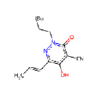 CC=Cc1nn(CCC(C)(C)C)c(=O)c(C#N)c1O